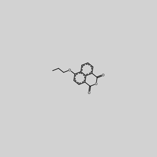 CCCOc1ccc2c3c(cccc13)C(=O)OC2=O